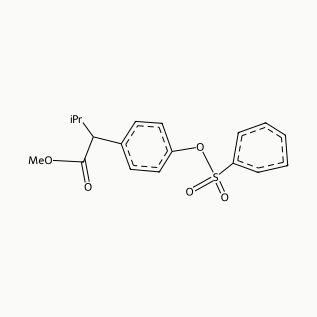 COC(=O)C(c1ccc(OS(=O)(=O)c2ccccc2)cc1)C(C)C